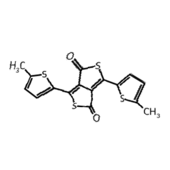 Cc1ccc(C2=C3C(=O)SC(c4ccc(C)s4)=C3C(=O)S2)s1